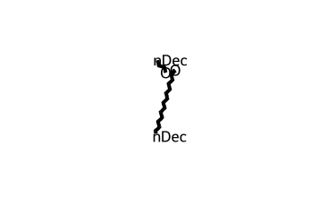 CCCCCCCCCCCCCCCCCCCCCCC(=O)OCCCCCCCCCCCC